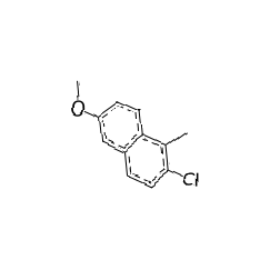 COc1ccc2c(C)c(Cl)ccc2c1